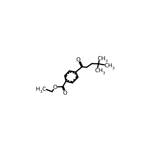 CCOC(=O)c1ccc(C(=O)CCC(C)(C)C)cc1